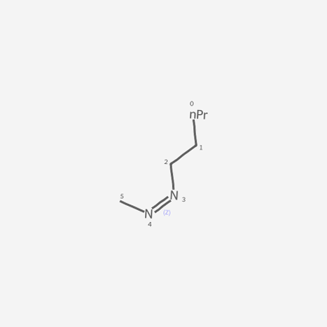 CCCCC/N=N\C